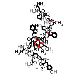 CCCC[C@@H](C(=O)N[C@@H](CCCNC(=N)N)C(=O)NC(CSCC(=O)N[C@@H](Cc1ccc(O)cc1)C(=O)NC)C(=O)NCC(N)=O)N(C)C(=O)[C@H](CCSC)N(C)C(=O)[C@H](Cc1csc2ccccc12)NC(=O)[C@H](CO)NC(=O)[C@H](Cc1c[nH]c2ccccc12)NC(=O)[C@@H]1C[C@@H](O)CN1C(=O)[C@H](CC(C)C)NC(=O)[C@H](CO)NC(=O)[C@@H]1CCCN1C(=O)[C@@H](N)CC(N)=O